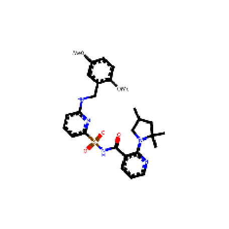 COc1ccc(OC)c(CNc2cccc(S(=O)(=O)NC(=O)c3cccnc3N3CC(C)CC3(C)C)n2)c1